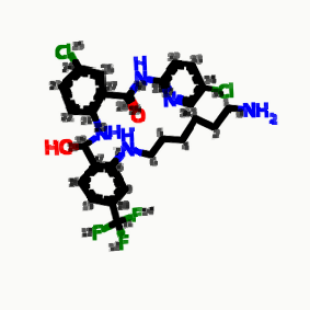 NCCCCCCNc1cc(C(F)(F)F)ccc1C(O)Nc1ccc(Cl)cc1C(=O)Nc1ccc(Cl)cn1